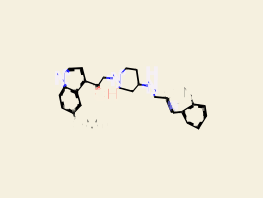 COc1ccc2nccc([C@@H](O)CN3CCC(NC/C=C/c4ccccc4[N+](=O)[O-])CC3)c2c1